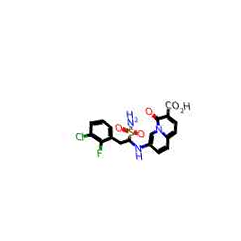 NS(=O)(=O)C(Cc1cccc(Cl)c1F)Nc1ccc2ccc(C(=O)O)c(=O)n2c1